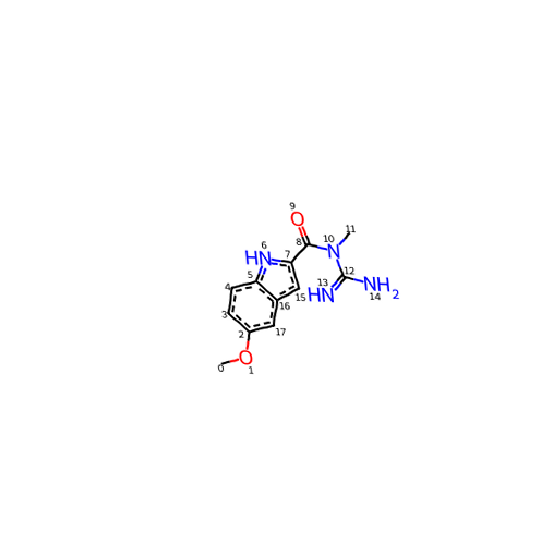 COc1ccc2[nH]c(C(=O)N(C)C(=N)N)cc2c1